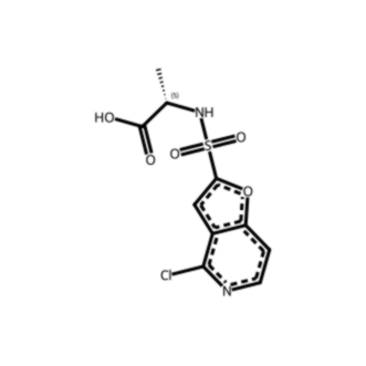 C[C@H](NS(=O)(=O)c1cc2c(Cl)nccc2o1)C(=O)O